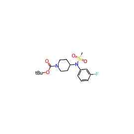 CC(C)(C)OC(=O)N1CCC(N(c2cccc(F)c2)S(C)(=O)=O)CC1